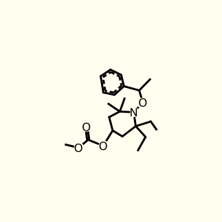 CCC1(CC)CC(OC(=O)OC)CC(C)(C)N1OC(C)c1ccccc1